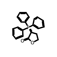 O=C1OCCC1=P(c1ccccc1)(c1ccccc1)c1ccccc1